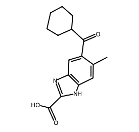 Cc1cc2[nH]c(C(=O)O)nc2cc1C(=O)C1CCCCC1